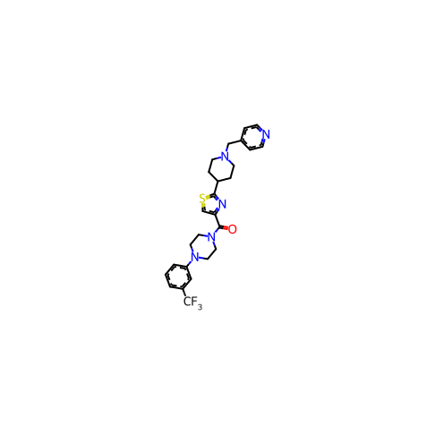 O=C(c1csc(C2CCN(Cc3ccncc3)CC2)n1)N1CCN(c2cccc(C(F)(F)F)c2)CC1